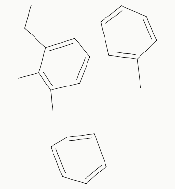 CCc1cccc(C)c1C.Cc1ccccc1.c1ccccc1